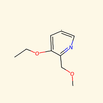 CCOc1c[c]cnc1COC